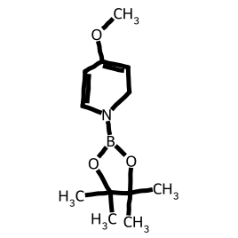 COC1=CCN(B2OC(C)(C)C(C)(C)O2)C=C1